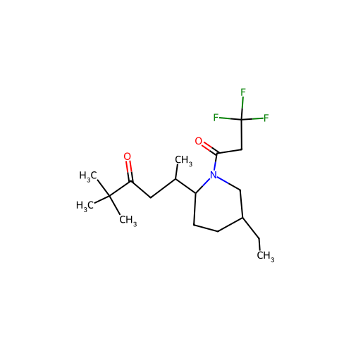 CCC1CCC(C(C)CC(=O)C(C)(C)C)N(C(=O)CC(F)(F)F)C1